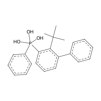 CC(C)(C)c1c(-c2ccccc2)cccc1P(O)(O)(O)c1ccccc1